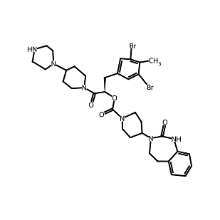 Cc1c(Br)cc(C[C@@H](OC(=O)N2CCC(N3CCc4ccccc4NC3=O)CC2)C(=O)N2CCC(N3CCNCC3)CC2)cc1Br